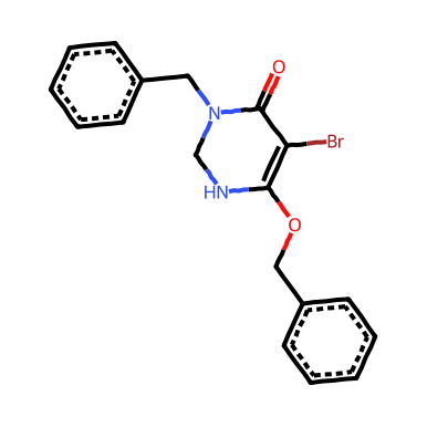 O=C1C(Br)=C(OCc2ccccc2)NCN1Cc1ccccc1